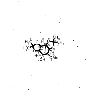 CO[C@H]1[C@H](O)[C@H]2OC(C)(C)O[C@H]2[C@@H]2OC(C)(C)O[C@@H]21